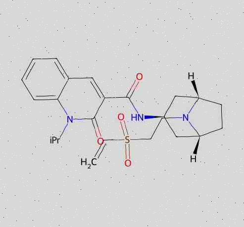 C=CS(=O)(=O)CCN1[C@@H]2CC[C@H]1C[C@H](NC(=O)c1cc3ccccc3n(C(C)C)c1=O)C2